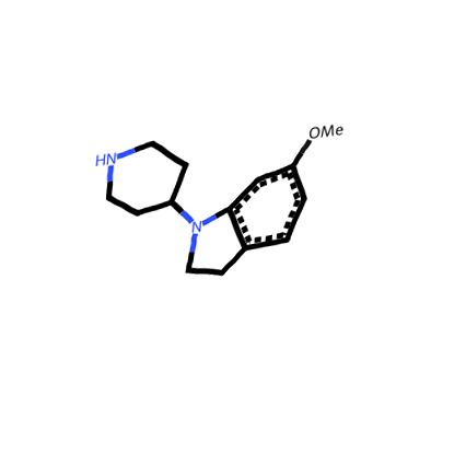 COc1ccc2c(c1)N(C1CCNCC1)CC2